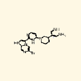 N=C/C(=C\N)C1CCCN(C2C=CN=C(C3=CNC4C=NC(Br)=CN34)N2)C1